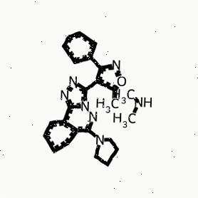 CNC.Cc1onc(-c2ccccc2)c1-c1nnc2c3ccccc3c(N3CCCC3)nn12